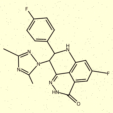 Cc1nc(C)n(C2c3n[nH]c(=O)c4cc(F)cc(c34)NC2c2ccc(F)cc2)n1